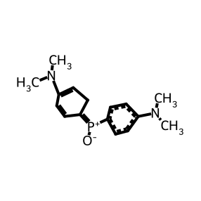 CN(C)C1=CC/C(=[P+](/[O-])c2ccc(N(C)C)cc2)C=C1